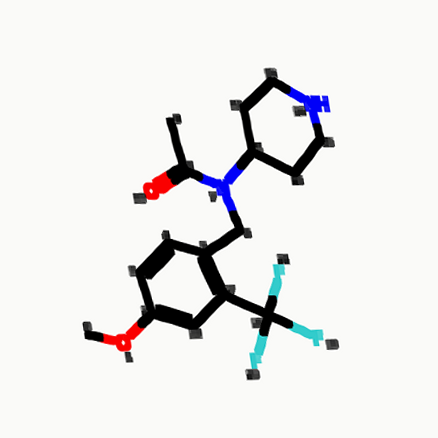 COc1ccc(CN(C(C)=O)C2CCNCC2)c(C(F)(F)F)c1